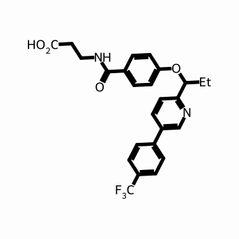 CCC(Oc1ccc(C(=O)NCCC(=O)O)cc1)c1ccc(-c2ccc(C(F)(F)F)cc2)cn1